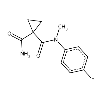 CN(C(=O)C1(C(N)=O)CC1)c1ccc(F)cc1